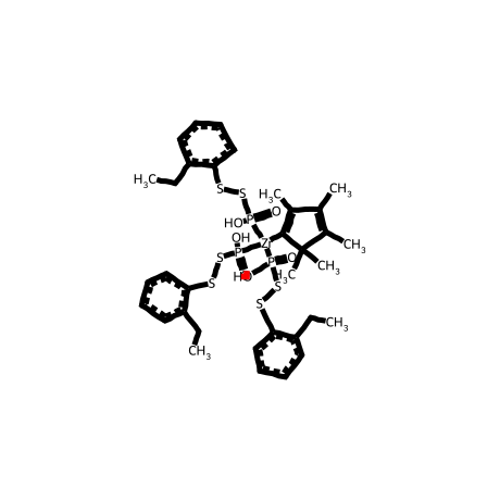 CCc1ccccc1SS[P](=O)(O)[Zr]([C]1=C(C)C(C)=C(C)C1(C)C)([P](=O)(O)SSc1ccccc1CC)[P](=O)(O)SSc1ccccc1CC